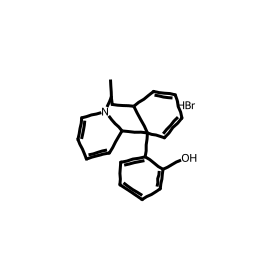 Br.CCC1C=CC=CC1(c1ccccc1O)C1C=CC=CN1C